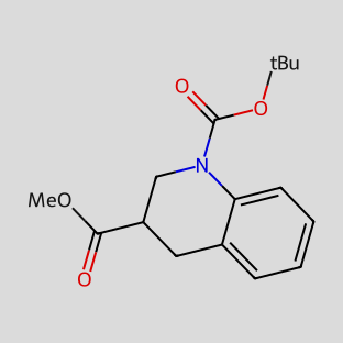 COC(=O)C1Cc2ccccc2N(C(=O)OC(C)(C)C)C1